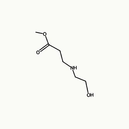 COC(=O)CCNCCO